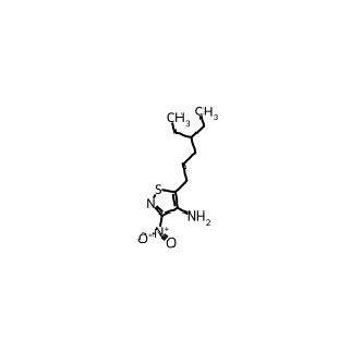 CCC(CC)CCCc1snc([N+](=O)[O-])c1N